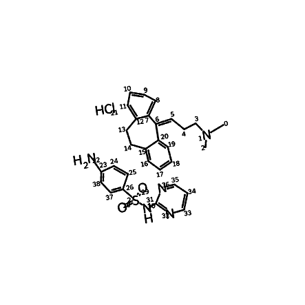 CN(C)CCC=C1c2ccccc2CCc2ccccc21.Cl.Nc1ccc(S(=O)(=O)Nc2ncccn2)cc1